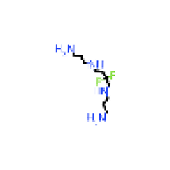 NCCCNCCC(F)(F)CNCCCN